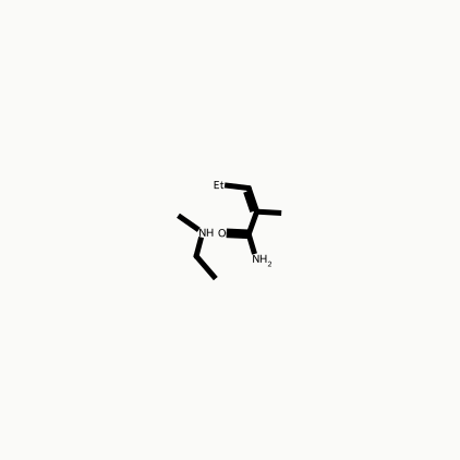 CCC=C(C)C(N)=O.CCNC